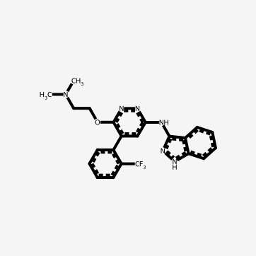 CN(C)CCOc1nnc(Nc2n[nH]c3ccccc23)cc1-c1ccccc1C(F)(F)F